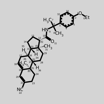 CCOc1ccc(C(C)(C)NC(=O)[C@H]2CC[C@H]3[C@@H]4CC=C5C=C(C#N)CC[C@]5(C)[C@H]4CC[C@]23C)cc1